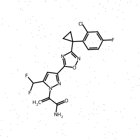 C=C(C(N)=O)n1nc(-c2nc(C3(c4ccc(F)cc4Cl)CC3)no2)cc1C(F)F